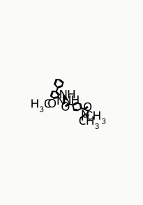 CCN(C)C(=O)c1ccc(C(=O)Nc2nc3c(OC)ccc(-c4ccccc4)c3[nH]2)cc1